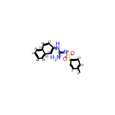 Cc1ccc(S(=O)(=O)/N=C(\N)Nc2ccc3ccccc3c2)cc1